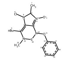 CCCCC1=C2C(=[N+]([O-])C(C)N2Cl)N(Oc2ccccc2)SN1C